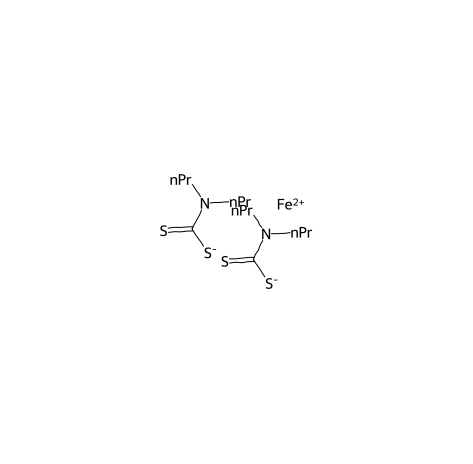 CCCN(CCC)C(=S)[S-].CCCN(CCC)C(=S)[S-].[Fe+2]